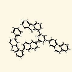 C1=CC2Oc3cccc(-c4ccc5cc(-c6nc(-c7ccc8c(ccc9ccccc98)c7)nc(-c7cccc8c7sc7ccccc78)n6)ccc5c4)c3C2C=C1c1ccccc1